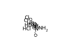 Cl.N[C@@H]1C[C@H]2C(=O)N([C@H](CO)C(=O)NCc3ccc(Cl)c(Cl)c3)CCC(CCc3ccccc3)N2C1